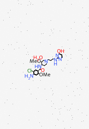 COc1cc(N)c(Cl)cc1C(=O)N[C@@H]1CCN(CCCNc2nccc(O)n2)C[C@@H]1OC.O